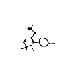 CC(=O)CC1=C(N2CCN(C)CC2)C(C)C(C)(C)C=C1